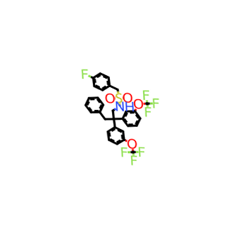 O=S(=O)(Cc1ccc(F)cc1)NCC(Cc1ccccc1)(c1cccc(OC(F)(F)F)c1)c1cccc(OC(F)(F)F)c1